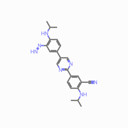 CC(C)Nc1ccc(-c2ncc(-c3ccc(NC(C)C)c(N=N)c3)cn2)cc1C#N